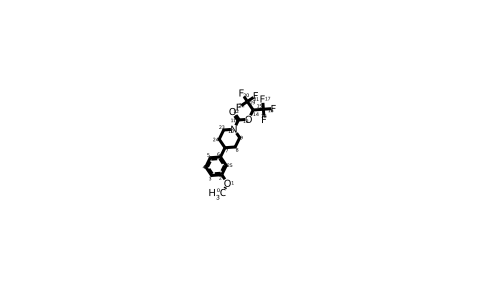 COc1cccc(C2CCN(C(=O)OC(C(F)(F)F)C(F)(F)F)CC2)c1